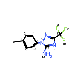 Cc1ccc(-n2nc(C(F)(F)F)nc2N)cc1